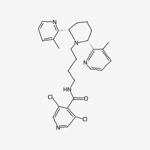 Cc1cccnc1[C@H]1CCC[C@@H](c2ncccc2C)N1CCCCNC(=O)c1c(Cl)cncc1Cl